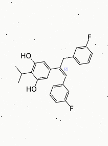 CC(C)c1c(O)cc(/C(=C\c2cccc(F)c2)Cc2cccc(F)c2)cc1O